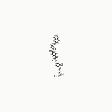 C=N/C(=N\Cc1ccc(OCCCNC=O)c(Cl)c1)Nc1ccc(C(=O)NCC(C)(C)COc2ccc3ccccc3c2)cc1